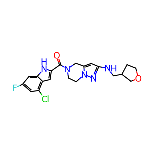 O=C(c1cc2c(Cl)cc(F)cc2[nH]1)N1CCn2nc(NCC3CCOC3)cc2C1